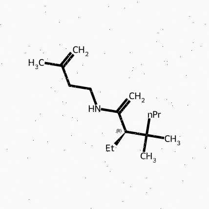 C=C(C)CCNC(=C)[C@H](CC)C(C)(C)CCC